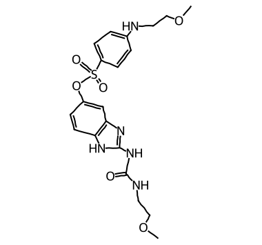 COCCNC(=O)Nc1nc2cc(OS(=O)(=O)c3ccc(NCCOC)cc3)ccc2[nH]1